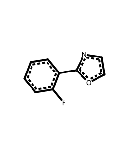 Fc1ccccc1-c1ncco1